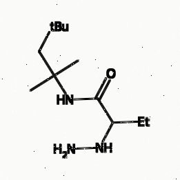 CCC(NN)C(=O)NC(C)(C)CC(C)(C)C